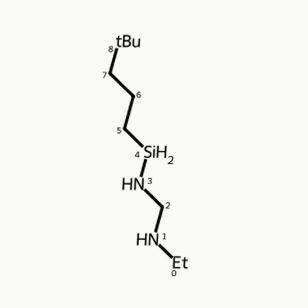 CCNCN[SiH2]CCCC(C)(C)C